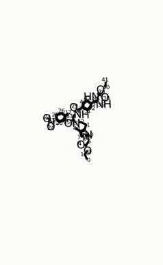 CCOC(=O)Cn1cc2c(n1)CCN(C(=O)[C@H](Cc1ccc([N+](=O)[O-])cc1)NC(=O)c1ccc(C(=N)NC(=O)OCC)cc1)C2